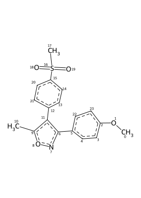 COc1ccc(-c2noc(C)c2-c2ccc(S(C)(=O)=O)cc2)cc1